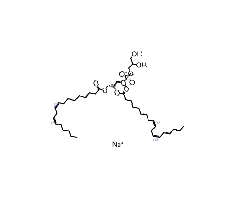 CCCCC/C=C\C/C=C\CCCCCCCC(=O)OC[C@H](COP(=O)([O-])OCC(O)CO)OC(=O)CCCCCCC/C=C\C/C=C\CCCCC.[Na+]